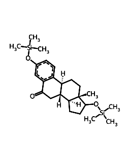 C[C@]12CC[C@@H]3c4ccc(O[Si](C)(C)C)cc4C(=O)C[C@H]3[C@@H]1CCC2O[Si](C)(C)C